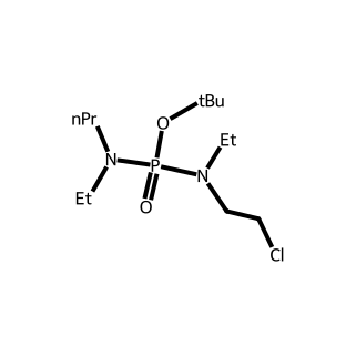 CCCN(CC)P(=O)(OC(C)(C)C)N(CC)CCCl